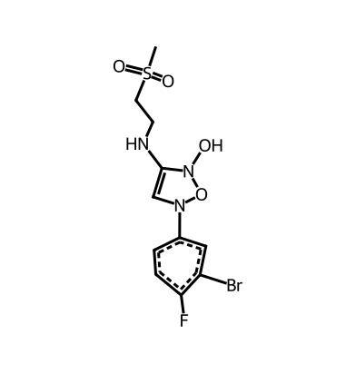 CS(=O)(=O)CCNC1=CN(c2ccc(F)c(Br)c2)ON1O